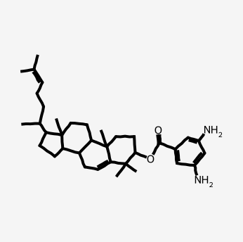 CC(C)=CCCC(C)C1CCC2C3CC=C4C(C)(C)C(OC(=O)c5cc(N)cc(N)c5)CCC4(C)C3CCC12C